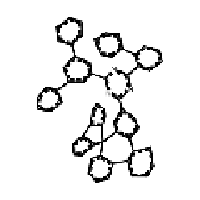 c1ccc(-c2cc(-c3ccccc3)cc(-c3nc(-c4ccc5c(c4)C4(c6ccccc6-c6ccccc6-5)c5ccccc5-c5ccccc54)nc(-c4ccccc4-c4ccccc4)n3)c2)cc1